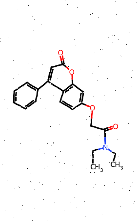 CCN(CC)C(=O)COc1ccc2c(-c3ccccc3)cc(=O)oc2c1